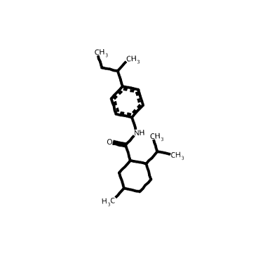 CCC(C)c1ccc(NC(=O)C2CC(C)CCC2C(C)C)cc1